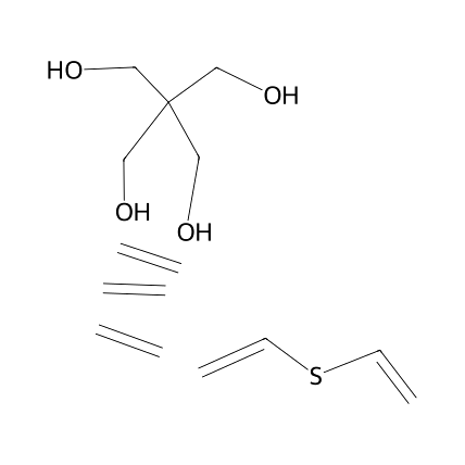 C=C.C=C.C=C.C=CSC=C.OCC(CO)(CO)CO